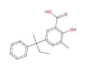 CCC(C)(c1ccccc1)c1cc(C)c(O)c(C(=O)O)c1